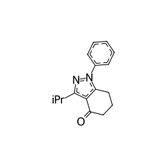 CC(C)c1nn(-c2ccccc2)c2c1C(=O)CCC2